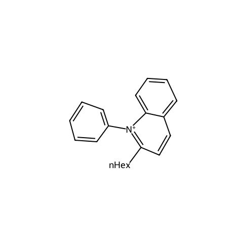 CCCCCCc1ccc2ccccc2[n+]1-c1ccccc1